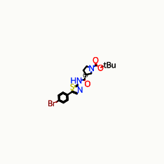 CC(C)(C)OC(=O)N1CC[C@H](C(=O)Nc2ncc(-c3ccc(Br)cc3)s2)C1